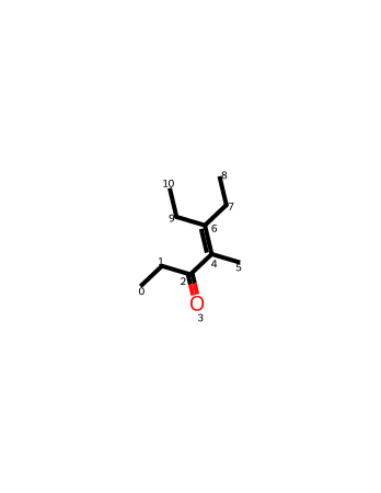 CCC(=O)C(C)=C(CC)CC